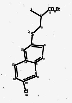 CCOC(=O)C(C)CSc1ccc2cc(Cl)ccc2c1